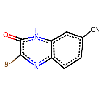 N#Cc1ccc2nc(Br)c(=O)[nH]c2c1